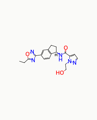 CCc1nc(-c2ccc3c(c2)CC[C@H]3NC(=O)c2ccnn2CCO)no1